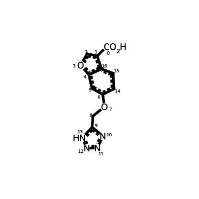 O=C(O)c1coc2cc(OCc3nnn[nH]3)ccc12